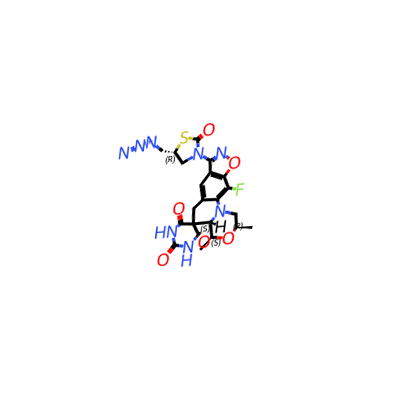 C[C@@H]1CN2c3c(cc4c(N5C[C@H](CN=[N+]=[N-])SC5=O)noc4c3F)CC3(C(=O)NC(=O)NC3=O)[C@H]2[C@H](C)O1